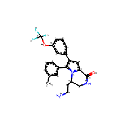 Cc1cccc(-c2c(-c3cccc(OC(F)(F)F)c3)cc3n2C(CCN)CNC3=O)c1